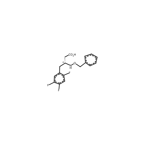 O=C(O)C[C@@H](Cc1cc(F)c(F)cc1F)NOCc1ccccc1